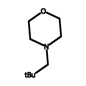 CC(C)(C)CN1CCOCC1